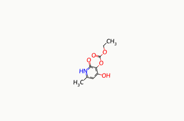 CCOC(=O)Oc1c(O)cc(C)[nH]c1=O